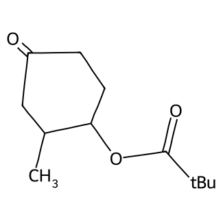 CC1CC(=O)CCC1OC(=O)C(C)(C)C